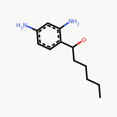 CCCCCC([O])c1ccc(N)cc1N